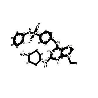 CCn1cnc2c(Nc3ccc(S(=O)(=O)Nc4ccccc4)cc3)nc(N[C@H]3CC[C@H](O)CC3)nc21